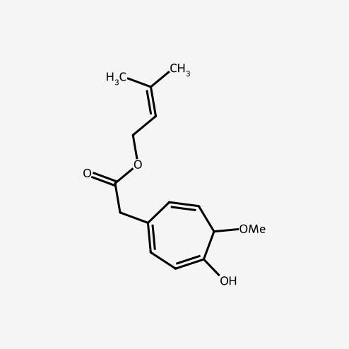 COC1C=CC(CC(=O)OCC=C(C)C)=CC=C1O